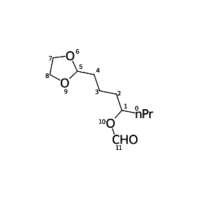 CCCC(CCCC1OCCO1)OC=O